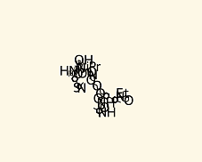 CCN(c1cc(-c2ccc(OCCOCCOc3cc(C(C(=O)N4C[C@H](O)C[C@H]4C(=O)N[C@@H](C)c4ccc(-c5scnc5C)cc4)C(C)C)on3)c(C(=O)NCc3c(C)cc(C)[nH]c3=O)c2)ccc1C)C1CCOCC1